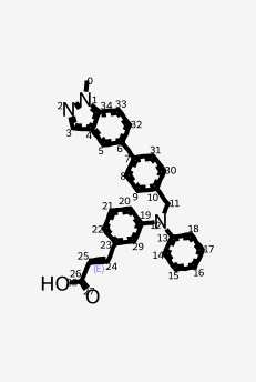 Cn1ncc2cc(-c3ccc(CN(c4ccccc4)c4cccc(/C=C/C(=O)O)c4)cc3)ccc21